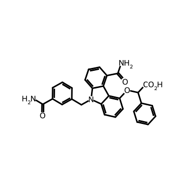 NC(=O)c1cccc(Cn2c3cccc(OC(C(=O)O)c4ccccc4)c3c3c(C(N)=O)cccc32)c1